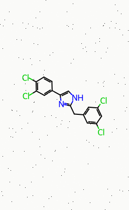 Clc1cc(Cl)cc(Cc2nc(-c3ccc(Cl)c(Cl)c3)c[nH]2)c1